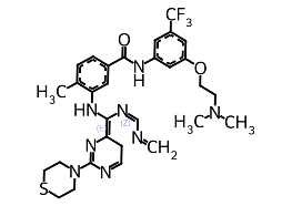 C=N/C=N\C(Nc1cc(C(=O)Nc2cc(OCCN(C)C)cc(C(F)(F)F)c2)ccc1C)=C1/CC=NC(N2CCSCC2)=N1